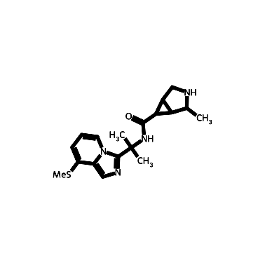 CSc1cccn2c(C(C)(C)NC(=O)C3C4CNC(C)C43)ncc12